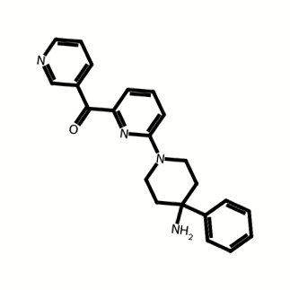 NC1(c2ccccc2)CCN(c2cccc(C(=O)c3cccnc3)n2)CC1